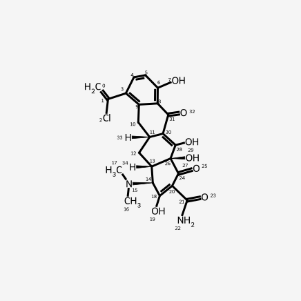 C=C(Cl)c1ccc(O)c2c1C[C@H]1C[C@H]3[C@H](N(C)C)C(O)=C(C(N)=O)C(=O)[C@@]3(O)C(O)=C1C2=O